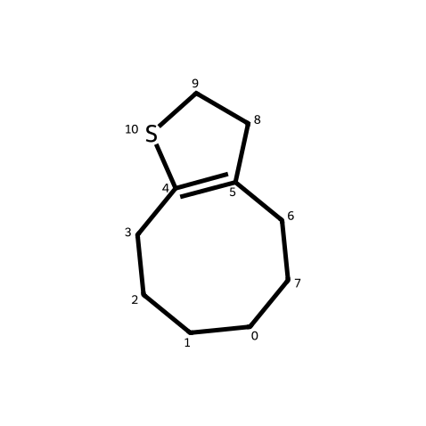 C1CCCC2=C(CC1)CCS2